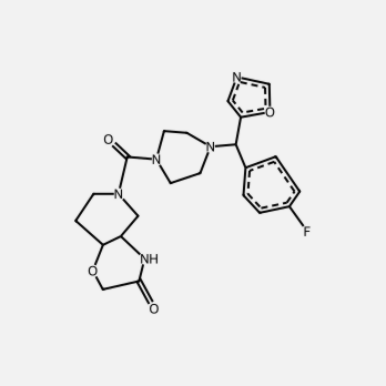 O=C1COC2CCN(C(=O)N3CCN(C(c4ccc(F)cc4)c4cnco4)CC3)CC2N1